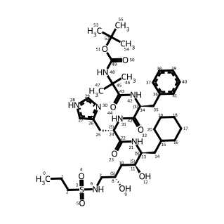 CCCS(=O)(=O)NC[C@@H](O)C[C@H](O)[C@H](CC1CCCCC1)NC(=O)[C@H](Cc1c[nH]cn1)NC(=O)[C@H](Cc1ccccc1)NC(=O)C(C)(C)NC(=O)OC(C)(C)C